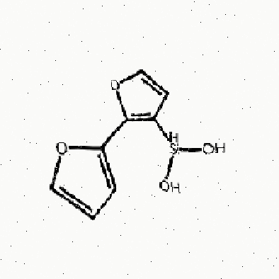 O[SiH](O)c1ccoc1-c1ccco1